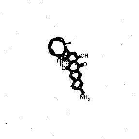 C[C@@H]1C#C/C=C\C#C[C@@H]2Nc3c(cc(O)c4c3C(=O)c3cc5ccc(CN)cc5cc3C4=O)[C@]13O[C@@]23[C@@H](C)O